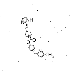 Cc1ccc(Cc2ccc(OC(=O)N3CCC(CSc4ncc[nH]4)CC3)cc2)nc1